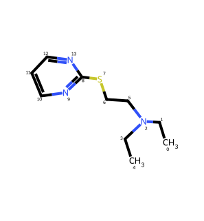 CCN(CC)CCSc1ncccn1